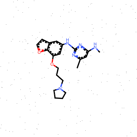 CNc1cc(C)nc(Nc2cc(OCCCN3CCCC3)c3occc3c2)n1